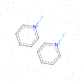 F[n+]1ccccc1.F[n+]1ccccc1